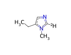 [2H]c1ncc(CC)n1C